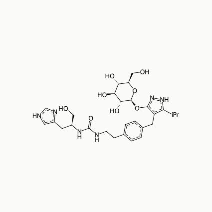 CC(C)c1[nH]nc(O[C@@H]2O[C@H](CO)[C@@H](O)[C@H](O)[C@H]2O)c1Cc1ccc(CCNC(=O)N[C@H](CO)Cc2c[nH]cn2)cc1